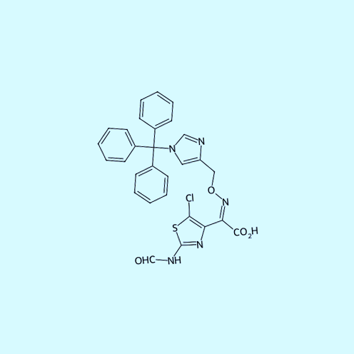 O=CNc1nc(C(=NOCc2cn(C(c3ccccc3)(c3ccccc3)c3ccccc3)cn2)C(=O)O)c(Cl)s1